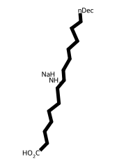 CCCCCCCCCCCCCCCCCCCCCCCC(=O)O.N.[NaH]